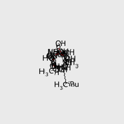 CCC(C)CC(C)CCCCCCCCC(=O)N[C@H]1C[C@@H](O)[C@@H](Sc2ccc(C)cc2)NC(=O)[C@@H]2[C@@H](O)CCN2C(=O)[C@H]([C@H](O)CC(N)=O)NC(=O)[C@H]([C@H](O)[C@@H](O)c2ccc(O)cc2)NC(=O)[C@@H]2C[C@@H](O)CN2C(=O)[C@H]([C@@H](C)O)NC1=O